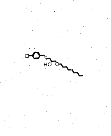 CCCCCCCCCOCC(O)CSCc1ccc(Cl)cc1